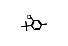 Cc1ccc(C(C)(C)C)c(Cl)c1